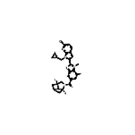 Cn1c(-c2cc3ccc(Cl)nc3n2CC2CC2)nc2cc(C(=O)N3C[C@H]4CC5C[C@@H]3[C@H]54)cc(F)c21